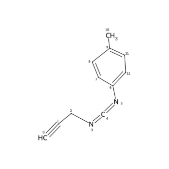 C#CCN=C=Nc1ccc(C)cc1